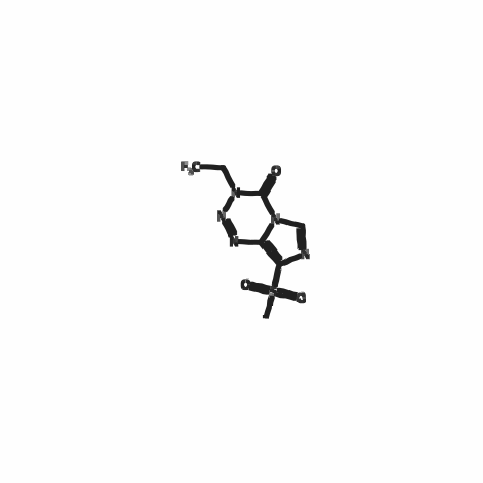 CS(=O)(=O)c1ncn2c(=O)n(CC(F)(F)F)nnc12